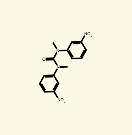 CN(C(=O)N(C)c1cccc([N+](=O)[O-])c1)c1cccc([N+](=O)[O-])c1